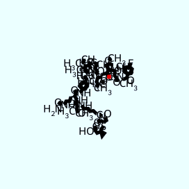 CC[C@H](C)[C@@H]([C@@H](CC(=O)N1C[C@H](OC)C[C@H]1[C@H](OC)[C@@H](C)C(=O)N[C@@H](C)C(=O)c1ccc(F)cc1)OC)N(C)C(=O)[C@@H](NC(=O)[C@H](C(C)C)N(C)C(=O)OCc1ccc(NC(=O)[C@H](CCCNC(N)=O)NC(=O)[C@@H](NC(=O)CCCCCN2C(=O)CC(SCC3(CC(=O)O)CC3)C2=O)C(C)C)cc1)C(C)C